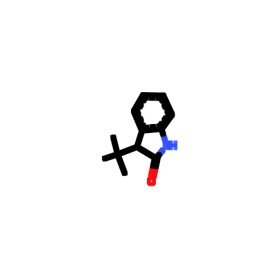 CC(C)(C)C1C(=O)Nc2ccccc21